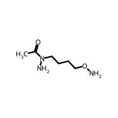 CC(=O)N(N)CCCCON